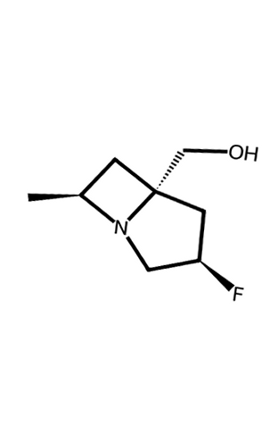 C[C@H]1C[C@@]2(CO)C[C@@H](F)CN12